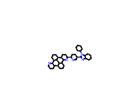 c1ccc(-n2c(-c3ccc(-c4ccc5c6cccc7c8ncccc8c8cccc(c5n4)c8c67)nc3)nc3ccccc32)cc1